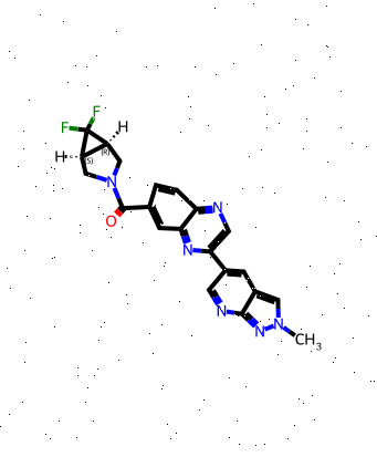 Cn1cc2cc(-c3cnc4ccc(C(=O)N5C[C@@H]6[C@H](C5)C6(F)F)cc4n3)cnc2n1